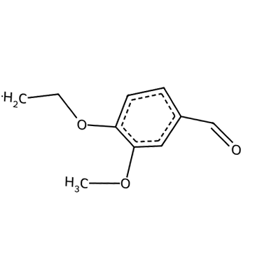 [CH2]COc1ccc(C=O)cc1OC